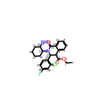 CCOC(=O)C1c2ccccc2C(=O)N(C2CCCCC2N)C1c1ccc(F)cc1Cl